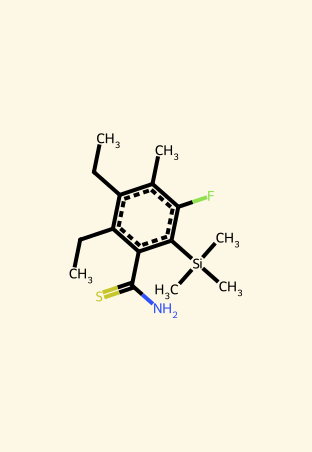 CCc1c(C)c(F)c([Si](C)(C)C)c(C(N)=S)c1CC